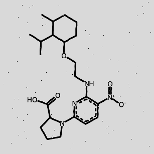 CC(C)C1C(C)CCCC1OCCNc1nc(N2CCCC2C(=O)O)ccc1[N+](=O)[O-]